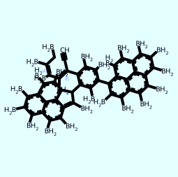 BC/C(B)=C(B)\C(B)=C(/C#C)c1c(B)c(B)c(-c2c(B)c(B)c3c(B)c(B)c4c(B)c(B)c(B)c5c(B)c(B)c2c3c45)c(B)c1C1C(B)=c2c(B)c(B)c3c(B)c(B)c(B)c4c(B)c(B)c1c2c43